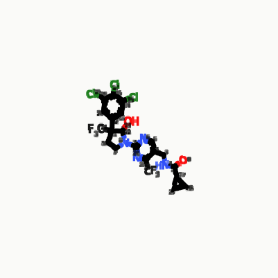 O=C(NCc1cnc(N2CCC(c3cc(Cl)c(Cl)c(Cl)c3)(C(F)(F)F)C2O)nc1C(F)(F)F)C1CC1